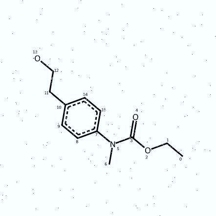 CCOC(=O)N(C)c1ccc(CC[O])cc1